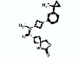 CN(C(=O)[C@H]1C[C@]2(COC(=O)N2)C1)[C@H]1C[C@@H](c2cccc(C3(C)CC3)c2)C1